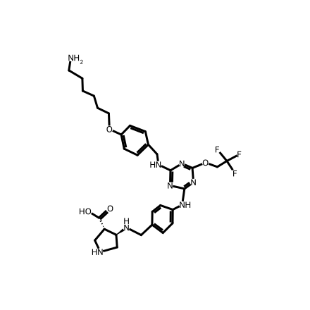 NCCCCCCOc1ccc(CNc2nc(Nc3ccc(CN[C@H]4CNC[C@@H]4C(=O)O)cc3)nc(OCC(F)(F)F)n2)cc1